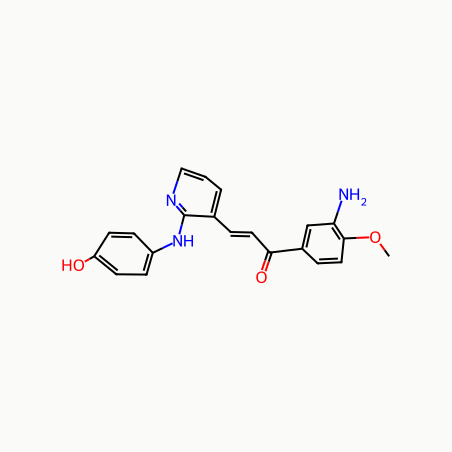 COc1ccc(C(=O)C=Cc2cccnc2Nc2ccc(O)cc2)cc1N